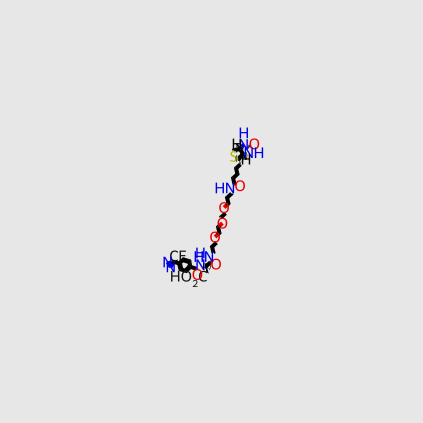 O=C(O)C[C@@H](NC(=O)c1ccc(C2(C(F)(F)F)N=N2)cc1)C(=O)NCCCOCCOCCOCCCNC(=O)CCCC[C@@H]1SC[C@@H]2NC(=O)N[C@@H]21